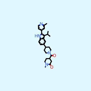 Cc1cc(-c2[nH]c3ccc(C4CCN(C(=O)C5CCN(C)C(=O)C5)CC4)cc3c2C(C)C)ccn1